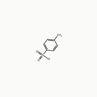 Cc1[c]cc(S(=O)(=O)Cl)cc1